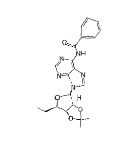 CC[C@H]1O[C@@H](n2cnc3c(NC(=O)c4ccccc4)ncnc32)[C@H]2OC(C)(C)OC12